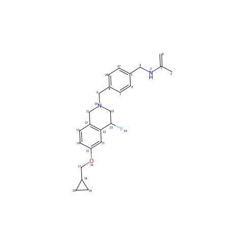 C=C(C)NCc1ccc(CN2Cc3ccc(OCC4CC4)cc3C(F)C2)cc1